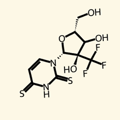 OC[C@H]1O[C@@H](n2ccc(=S)[nH]c2=S)[C@@](O)(C(F)(F)F)C1O